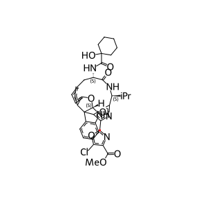 COC(=O)c1nc(-c2nc3oc2C24c5ccccc5N[C@H]2Oc2ccc(cc24)C[C@H](NC(=O)C2(O)CCCCC2)C(=O)N[C@H]3C(C)C)oc1Cl